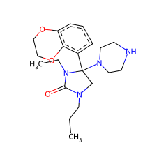 CCCN1CC(c2cccc3c2OCCO3)(N2CCNCC2)N(CC)C1=O